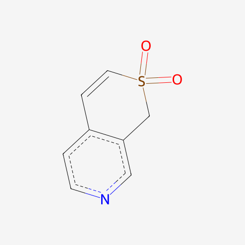 O=S1(=O)C=Cc2ccncc2C1